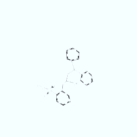 Cc1ccc(S(=O)(=O)O)c(CC(O)CC(c2ccccc2)c2ccccc2)c1